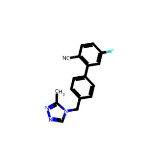 Cc1nncn1Cc1ccc(-c2cc(F)ccc2C#N)cc1